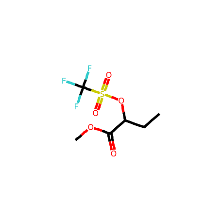 CCC(OS(=O)(=O)C(F)(F)F)C(=O)OC